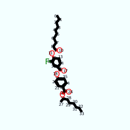 CCCCCCCCCC(=O)Oc1ccc(C(=O)Oc2ccc(C(=O)OC(C)CCCCCC)cc2)cc1F